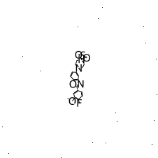 COc1cc(-c2nc3cc(N4CCN(S(C)(=O)=O)CC4)ccc3o2)ccc1F